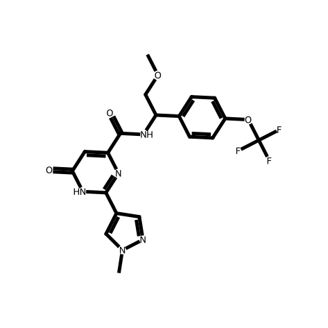 COCC(NC(=O)c1cc(=O)[nH]c(-c2cnn(C)c2)n1)c1ccc(OC(F)(F)F)cc1